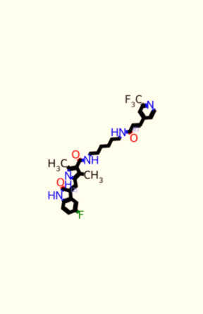 Cc1[nH]c(/C=C2\C(=O)Nc3ccc(F)cc32)c(C)c1C(=O)NCCCCCCNC(=O)/C=C/c1ccnc(C(F)(F)F)c1